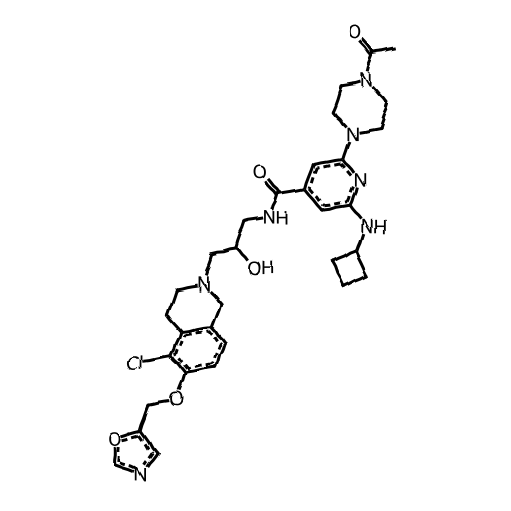 CC(=O)N1CCN(c2cc(C(=O)NCC(O)CN3CCc4c(ccc(OCc5cnco5)c4Cl)C3)cc(NC3CCC3)n2)CC1